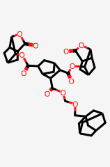 O=C1OC2C3CC(CC13)C2OC(=O)C1CC2CC1C(C(=O)OCOCC13CC4CC(CC(C4)C1)C3)C2C(=O)OC1C2CC3C(=O)OC1C3C2